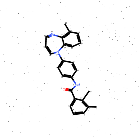 Cc1cccc(C(=O)Nc2ccc(N3C=CC=Nc4c(C)cccc43)cc2)c1C